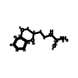 N[S+]([O-])NCCC1COc2ccccc2O1